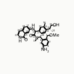 COCc1ccc(N)cc1CN(C)C(=O)C(Nc1ccc2cc[nH]c(=O)c2c1)c1ccc([C@@H](C)CO)c(C)c1